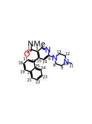 CNC(=O)c1cnc(N2CCN(C)CC2)cc1-c1cccc2ccccc12